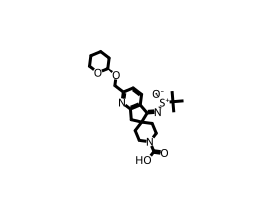 CC(C)(C)[S@@+]([O-])/N=C1\c2ccc(CO[C@@H]3CCCCO3)nc2CC12CCN(C(=O)O)CC2